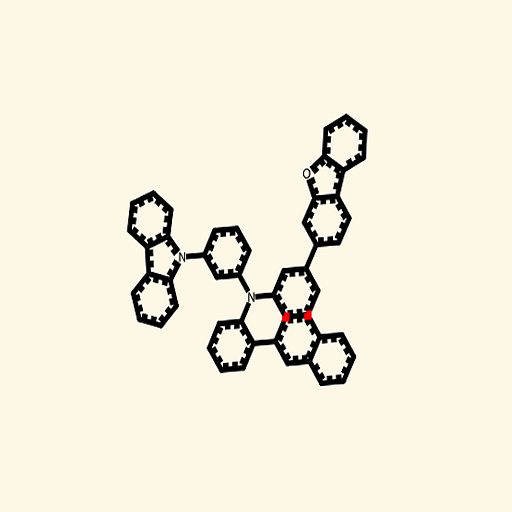 c1cc(-c2ccc3c(c2)oc2ccccc23)cc(N(c2cccc(-n3c4ccccc4c4ccccc43)c2)c2ccccc2-c2ccc3ccccc3c2)c1